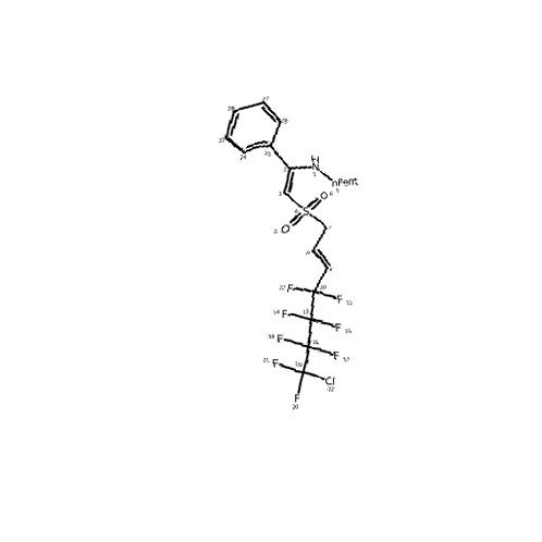 CCCCCNC(=CS(=O)(=O)CC=CC(F)(F)C(F)(F)C(F)(F)C(F)(F)Cl)c1ccccc1